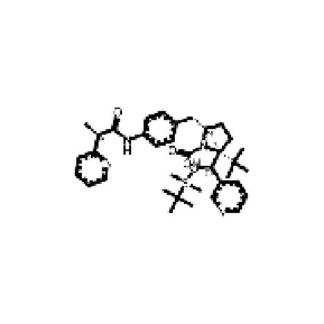 C[C@@H](C(=O)Nc1ccc(C[C@@H]2CC[C@]([C@H](O[Si](C)(C)C(C)(C)C)c3cccnc3)(C(C)(C)C)N2C(=O)O)cc1)c1ccccn1